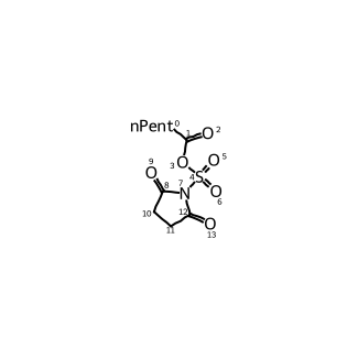 CCCCCC(=O)OS(=O)(=O)N1C(=O)CCC1=O